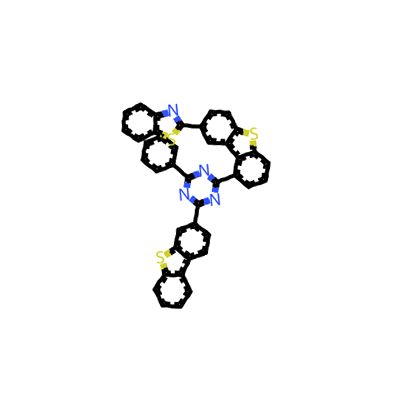 c1ccc(-c2nc(-c3ccc4c(c3)sc3ccccc34)nc(-c3cccc4sc5ccc(-c6nc7ccccc7s6)cc5c34)n2)cc1